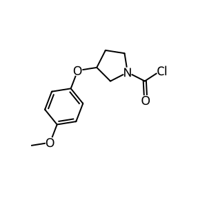 COc1ccc(OC2CCN(C(=O)Cl)C2)cc1